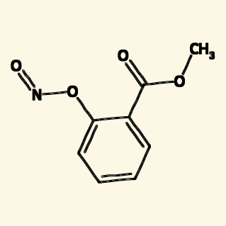 COC(=O)c1ccccc1ON=O